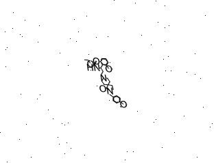 CCOC(=O)NC(CCN1CCC2(CC1)CCN(Cc1ccc(OC)cc1)C2=O)c1ccccc1OC